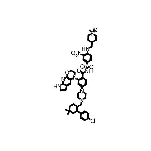 CC1(C)CCC(CN2CCN(c3ccc(C(=O)NS(=O)(=O)c4ccc(NCC5CCP(C)(=O)CC5)c([N+](=O)[O-])c4)c(N4CCOc5nc6[nH]ccc6cc54)c3)CC2)=C(c2ccc(Cl)cc2)C1